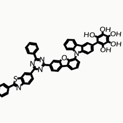 Oc1c(O)c(O)c(-c2ccc3c(c2)c2ccccc2n3-c2cccc3c2oc2cc(-c4nc(-c5ccccc5)nc(-c5ccc6nc(-c7ccccc7)sc6c5)n4)ccc23)c(O)c1O